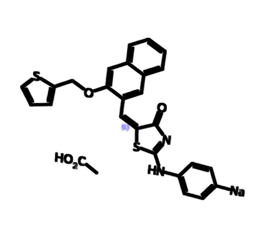 CC(=O)O.O=C1N=C(Nc2cc[c]([Na])cc2)S/C1=C/c1cc2ccccc2cc1OCc1cccs1